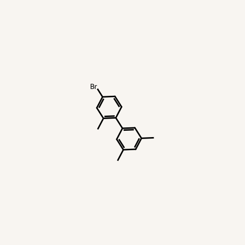 Cc1cc(C)cc(-c2ccc(Br)cc2C)c1